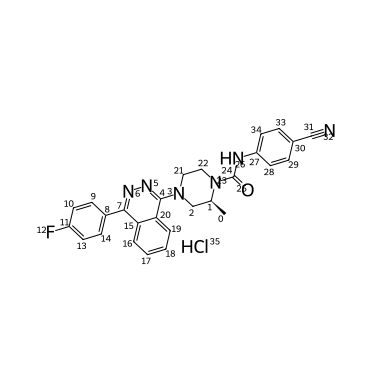 C[C@H]1CN(c2nnc(-c3ccc(F)cc3)c3ccccc23)CCN1C(=O)Nc1ccc(C#N)cc1.Cl